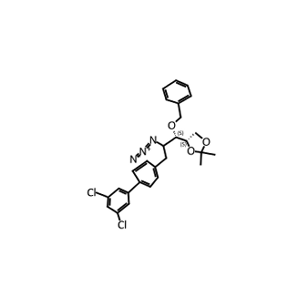 CC1(C)OC[C@@H]([C@@H](OCc2ccccc2)C(Cc2ccc(-c3cc(Cl)cc(Cl)c3)cc2)N=[N+]=[N-])O1